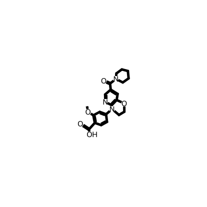 COc1cc(N2CCOc3cc(C(=O)N4CCCCC4)cnc32)ccc1C(=O)O